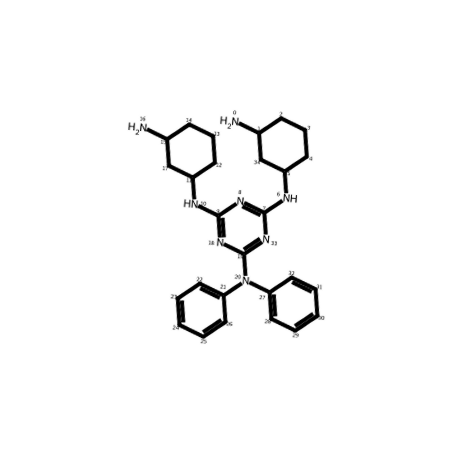 NC1CCCC(Nc2nc(NC3CCCC(N)C3)nc(N(c3ccccc3)c3ccccc3)n2)C1